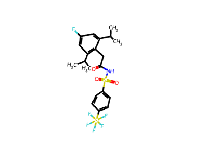 CC(C)c1cc(F)cc(C(C)C)c1CC(=O)NS(=O)(=O)c1ccc(S(F)(F)(F)(F)F)cc1